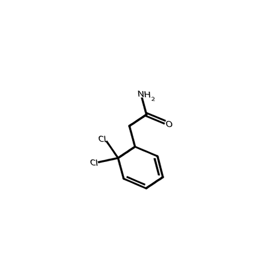 NC(=O)CC1C=CC=CC1(Cl)Cl